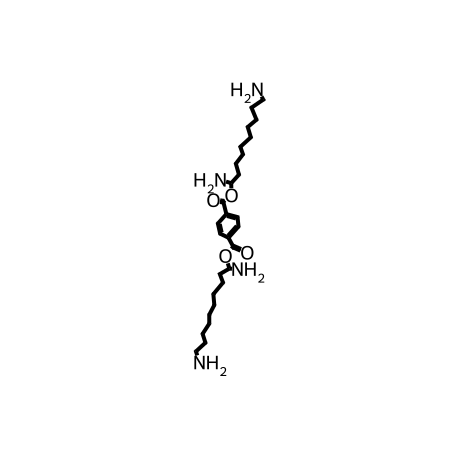 NCCCCCCCCCC(N)OC(=O)c1ccc(C(=O)OC(N)CCCCCCCCCN)cc1